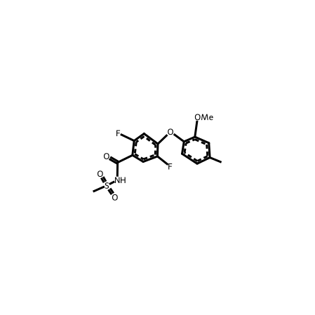 COc1cc(C)ccc1Oc1cc(F)c(C(=O)NS(C)(=O)=O)cc1F